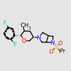 CC1C[C@@H](N2CC3CN(S(=O)(=O)C(C)C)C3C2)CO[C@@H]1c1cc(F)ccc1F